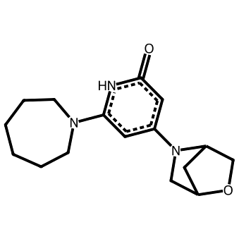 O=c1cc(N2CC3CC2CO3)cc(N2CCCCCC2)[nH]1